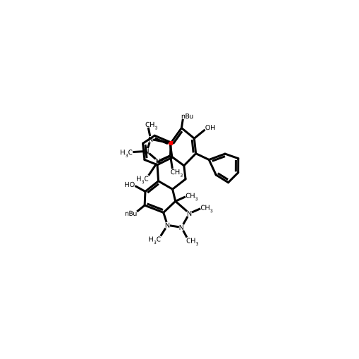 CCCCC1=C2N(C)N(C)N(C)C2(C)C(CC2C(c3ccccc3)=C(O)C(CCCC)=C3N(C)N(C)N(C)C32C)C(c2ccccc2)=C1O